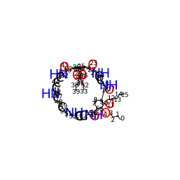 CCCCOc1c2ccc(c1OCCCC)C(=O)NCCNC(=O)c1ccc(c(OCCCC)c1OCCCC)C(=O)NCCCNCCCCNCCCNC2=O